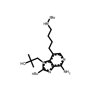 CCCCc1nc2c(N)ncc(CCCCNC(C)(C)C)c2n1CC(C)(C)O